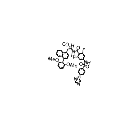 COc1cccc(OC)c1-c1ccc(C[C@H](NC(=O)c2c(F)cc(NS(=O)(=O)c3ccc(-n4cncn4)cc3)cc2F)C(=O)O)c2ccccc12